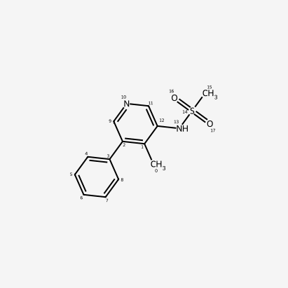 Cc1c(-c2ccccc2)[c]ncc1NS(C)(=O)=O